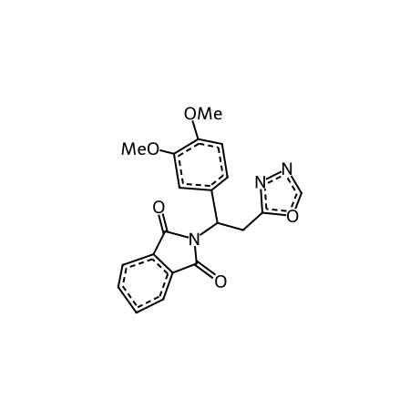 COc1ccc(C(Cc2nnco2)N2C(=O)c3ccccc3C2=O)cc1OC